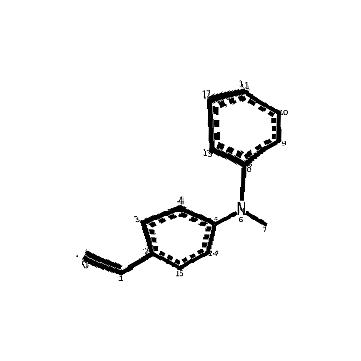 [CH]=Cc1ccc(N(C)c2ccccc2)cc1